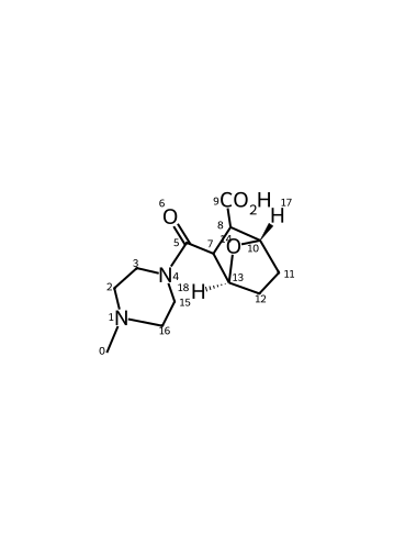 CN1CCN(C(=O)C2C(C(=O)O)[C@@H]3CC[C@@H]2O3)CC1